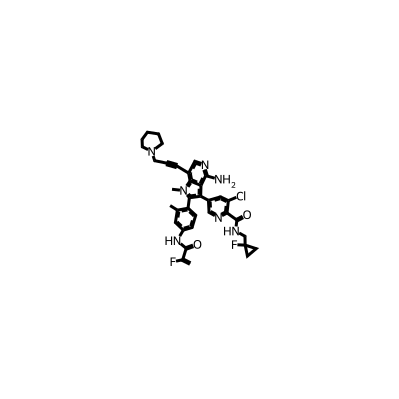 C=C(F)C(=O)Nc1ccc(-c2c(-c3cnc(C(=O)NCC4(F)CC4)c(Cl)c3)c3c(N)ncc(C#CCN4CCCCC4)c3n2C)c(C)c1